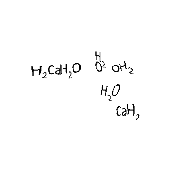 O.O.O.O.[CaH2].[CaH2]